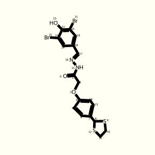 O=C(COc1ccc(C2SCCS2)cc1)NN=Cc1cc(Br)c(O)c(Br)c1